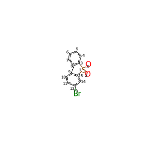 O=S1(=O)c2ccccc2-c2ccc(Br)cc21